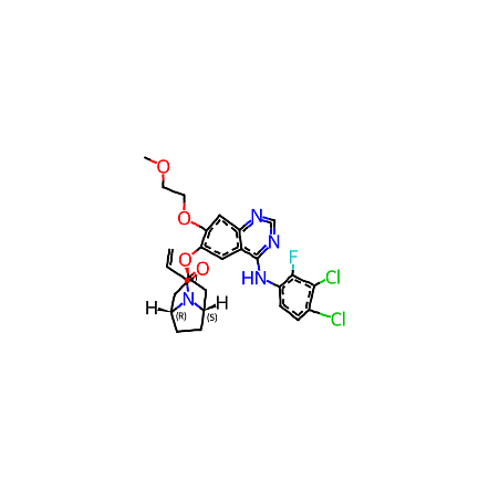 C=CC(=O)N1[C@@H]2CC[C@H]1C[C@H](Oc1cc3c(Nc4ccc(Cl)c(Cl)c4F)ncnc3cc1OCCOC)C2